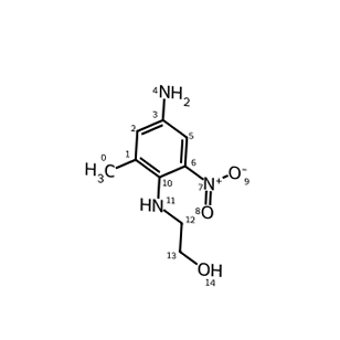 Cc1cc(N)cc([N+](=O)[O-])c1NCCO